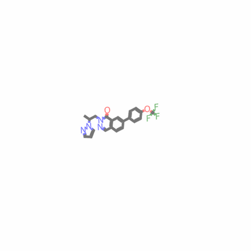 CC(Cn1ncc2ccc(-c3ccc(OC(F)(F)F)cc3)cc2c1=O)n1cccn1